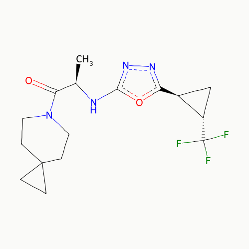 C[C@@H](Nc1nnc([C@H]2C[C@@H]2C(F)(F)F)o1)C(=O)N1CCC2(CC1)CC2